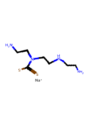 NCCNCCN(CCN)C(=S)[S-].[Na+]